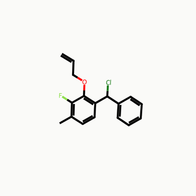 C=CCOc1c(C(Cl)c2ccccc2)ccc(C)c1F